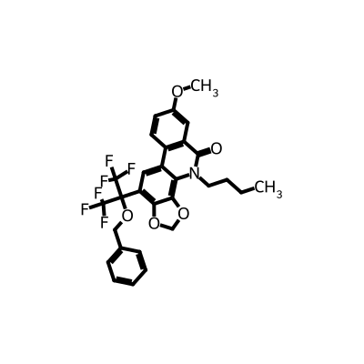 CCCCn1c(=O)c2cc(OC)ccc2c2cc(C(OCc3ccccc3)(C(F)(F)F)C(F)(F)F)c3c(c21)OCO3